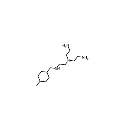 CC1CCC(CNCCN(CCN)CCN)CC1